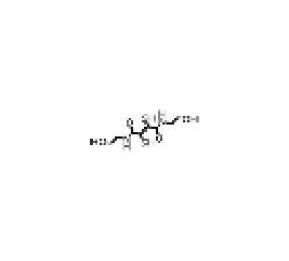 O=C(NCCO)C(S)C(S)C(=O)NCCO